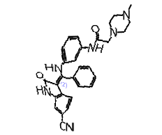 CN1CCN(CC(=O)Nc2cccc(N/C(=C3\C(=O)Nc4cc(C#N)ccc43)c3ccccc3)c2)CC1